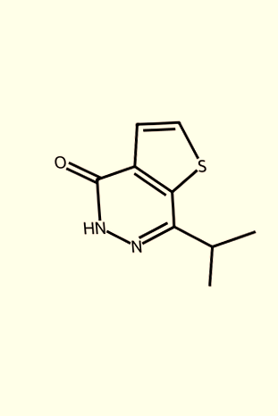 CC(C)c1n[nH]c(=O)c2ccsc12